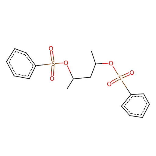 CC(CC(C)OS(=O)(=O)c1ccccc1)OS(=O)(=O)c1ccccc1